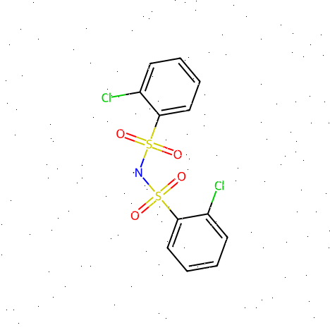 O=S(=O)([N]S(=O)(=O)c1ccccc1Cl)c1ccccc1Cl